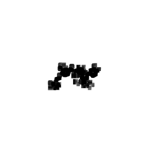 COc1cc(C(=O)NCC(O)(c2cc(C(C)(C)N)cc(-c3ccc(F)c(Cl)c3)n2)C(F)(F)F)ccc1OCCn1nn[nH]c1=O